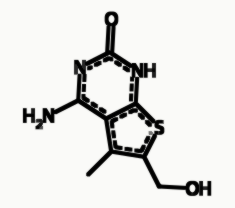 Cc1c(CO)sc2[nH]c(=O)nc(N)c12